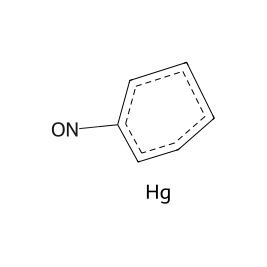 O=Nc1ccccc1.[Hg]